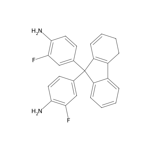 Nc1ccc(C2(c3ccc(N)c(F)c3)C3=C(CCC=C3)c3ccccc32)cc1F